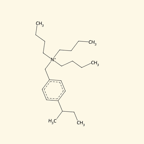 CCCC[N+](CCCC)(CCCC)Cc1ccc(C(C)CC)cc1